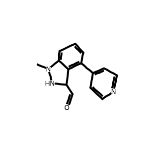 CN1NC(C=O)c2c(-c3ccncc3)cccc21